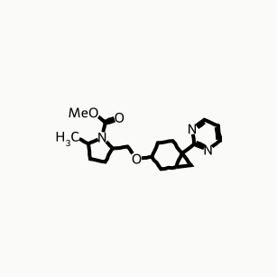 COC(=O)N1C(C)CCC1COC1CCC2(c3ncccn3)CC2C1